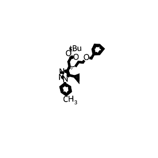 Cc1ccc(-n2nnc([C@@H](CCCOCc3ccccc3)CC(=O)OC(C)(C)C)c2C2CC2)cc1